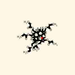 C=CC(=O)OCCC(F)(F)C1(F)C(F)(COC(=O)C=C)C(F)(COC(=O)C=C)C2(F)C(F)(F)C(F)(COC(=O)C=C)C(F)(F)C3(F)C(F)(COC(=O)C=C)C(F)(COC(=O)C=C)C(F)(C(F)(F)F)C1(F)C32F